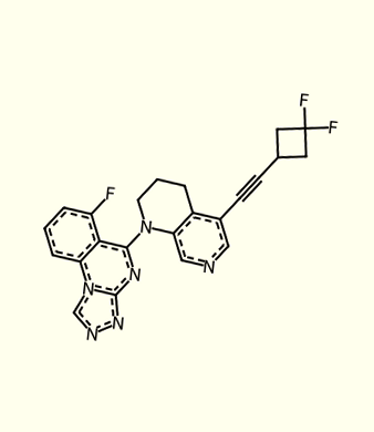 Fc1cccc2c1c(N1CCCc3c(C#CC4CC(F)(F)C4)cncc31)nc1nncn12